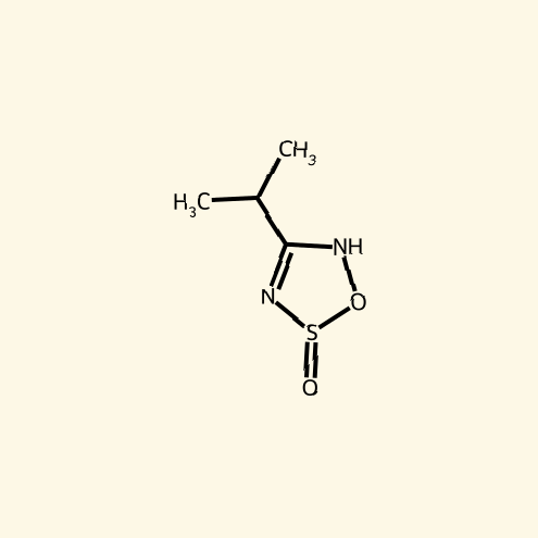 CC(C)C1=NS(=O)ON1